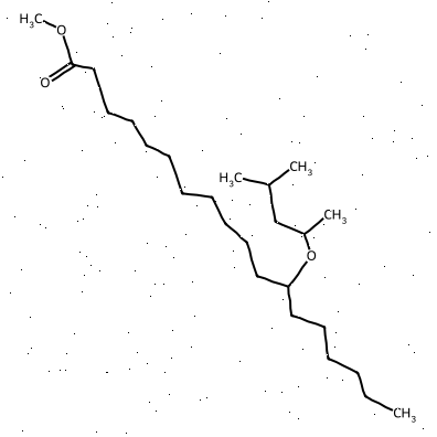 CCCCCCC(CCCCCCCCCCC(=O)OC)OC(C)CC(C)C